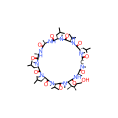 CC(C)C[C@@H]1C(=O)N(C)[C@H](C(C)C)C(=O)N(C)[C@H]([C@H](C)[C@H](C)CCO)C(=O)N[C@H](C)C(=O)N(C)CC(=O)N(C)[C@@H](CC(C)C)C(=O)N[C@H](C(C)C)C(=O)N(C)[C@H](CC(C)C)C(=O)N[C@H](C)C(=O)N[C@H](C)C(=O)N(C)[C@H](CC(C)C)C(=O)N1C